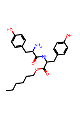 CCCCCCOC(=O)C(Cc1ccc(O)cc1)NC(=O)C(N)Cc1ccc(O)cc1